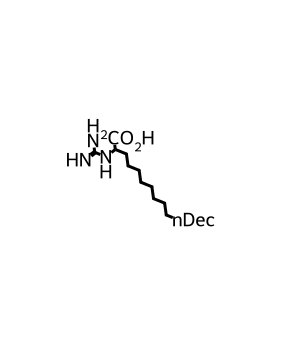 CCCCCCCCCCCCCCCCCCC(NC(=N)N)C(=O)O